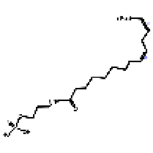 CCCCC/C=C\C/C=C\CCCCCCCC(=O)NCCCOP(=O)(O)O